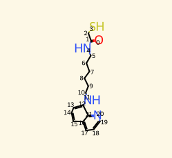 O=C(CS)NCCCCCCNc1cccc2cccnc12